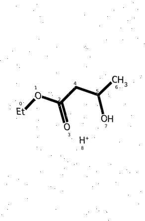 CCOC(=O)CC(C)O.[H+]